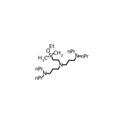 CCCN(CCC)CCCN(CCCN(CCC)CCC)CC[Si](C)(C)OCC